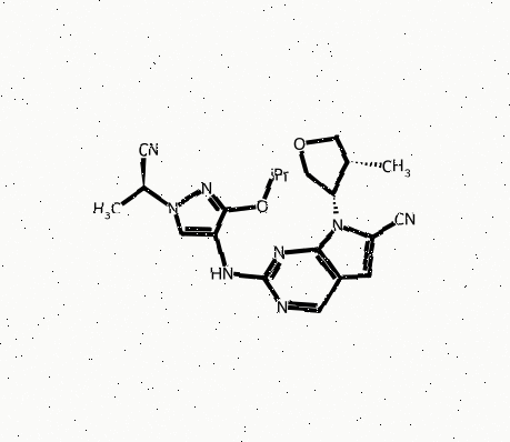 CC(C)Oc1nn([C@@H](C)C#N)cc1Nc1ncc2cc(C#N)n([C@@H]3COC[C@@H]3C)c2n1